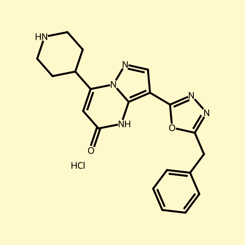 Cl.O=c1cc(C2CCNCC2)n2ncc(-c3nnc(Cc4ccccc4)o3)c2[nH]1